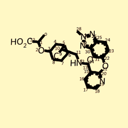 CC(OC1CC2CCC1CC2CNC(=O)c1cccnc1Oc1ccc2nn(C)nc2c1)C(=O)O